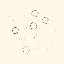 Brc1ccc(C(c2cccc(CN3CCCNCc4cccc(n4)CNCCC3)c2)c2cccc(CN3CCCNCc4cccc(n4)CNCCC3)c2)cc1